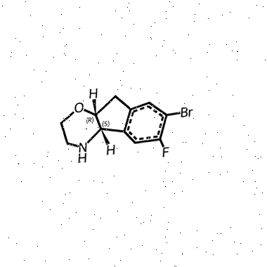 Fc1cc2c(cc1Br)C[C@H]1OCCN[C@@H]21